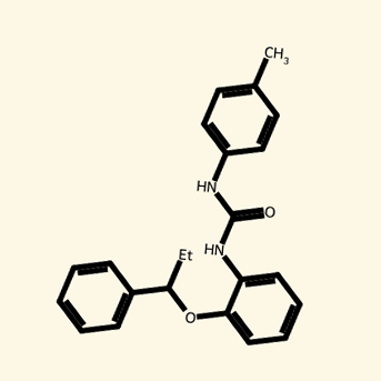 CCC(Oc1ccccc1NC(=O)Nc1ccc(C)cc1)c1ccccc1